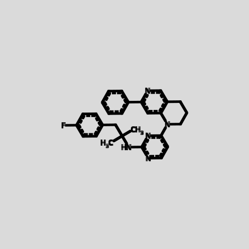 CC(C)(Cc1ccc(F)cc1)Nc1nccc(N2CCCc3cnc(-c4ccccc4)cc32)n1